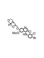 COc1cc2c(Nc3ccc(Br)c(Cl)c3Cl)ncnc2cc1OC[C@@H]1CN2CCOC[C@H]2CO1